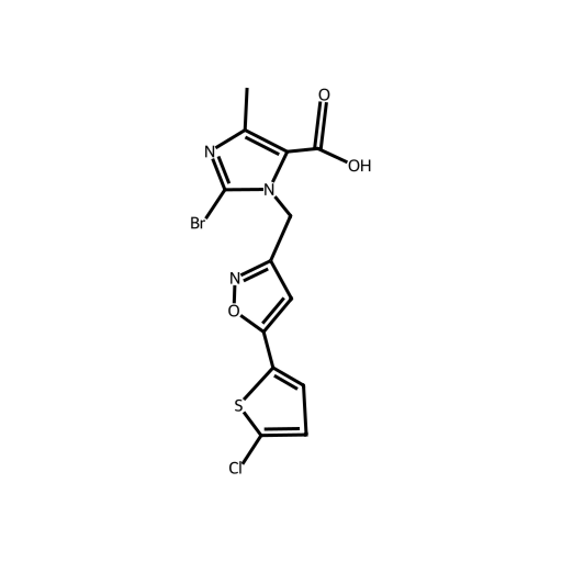 Cc1nc(Br)n(Cc2cc(-c3ccc(Cl)s3)on2)c1C(=O)O